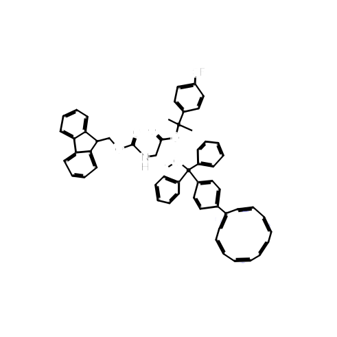 CC(C)(OC(=O)[C@H](COC(c1ccccc1)(c1ccccc1)c1ccc(C2=C/C=C\C=C/C=C\C=C/C=C\2)cc1)NC(=O)OCC1c2ccccc2-c2ccccc21)c1ccc(C(F)(F)F)cc1